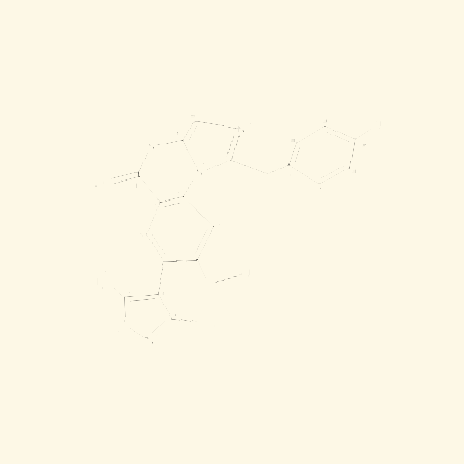 COc1cc2c(cc1-c1c(C)noc1C)c(=O)[nH]c1cnc(Cc3ccc(Cl)cc3)n12